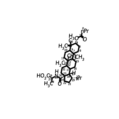 CCCC(=O)O[C@@H]1CC[C@@]2(C)C(CC[C@]3(C)C2CCC2[C@@H]4[C@H](C(C)C)CC[C@]4(C(=O)N[C@@H](C)C(=O)O)CC[C@]23C)C1(C)C